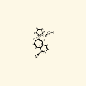 N#Cc1nccc2c1C=CCC(N1CCC[C@@H]1CO)=C2